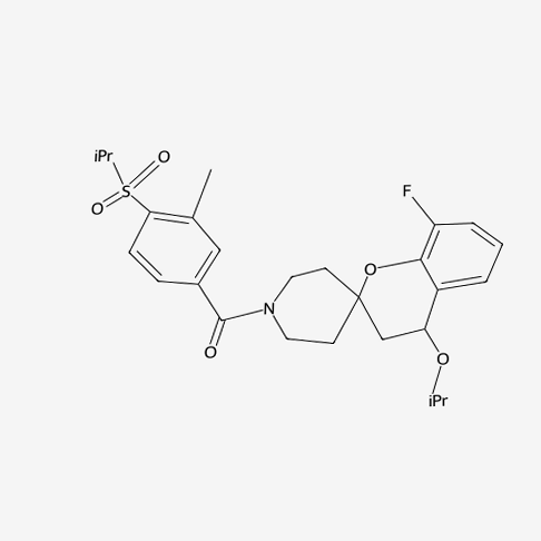 Cc1cc(C(=O)N2CCC3(CC2)CC(OC(C)C)c2cccc(F)c2O3)ccc1S(=O)(=O)C(C)C